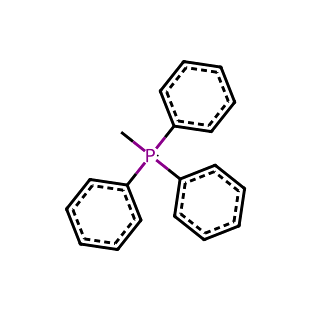 C[P](c1ccccc1)(c1ccccc1)c1ccccc1